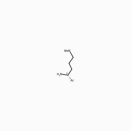 CNCCC[C@@H](N)C(C)=O